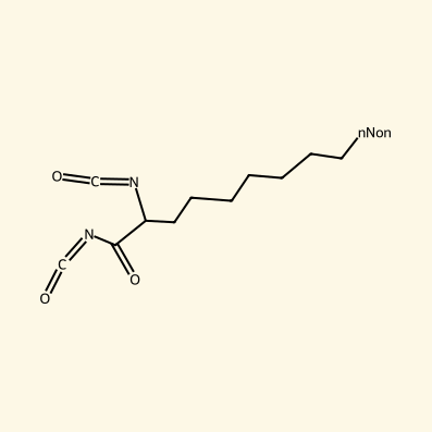 CCCCCCCCCCCCCCCCC(N=C=O)C(=O)N=C=O